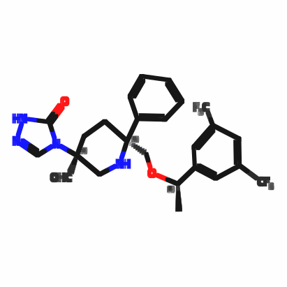 C[C@@H](OC[C@@]1(c2ccccc2)CC[C@@](C=O)(n2cn[nH]c2=O)CN1)c1cc(C(F)(F)F)cc(C(F)(F)F)c1